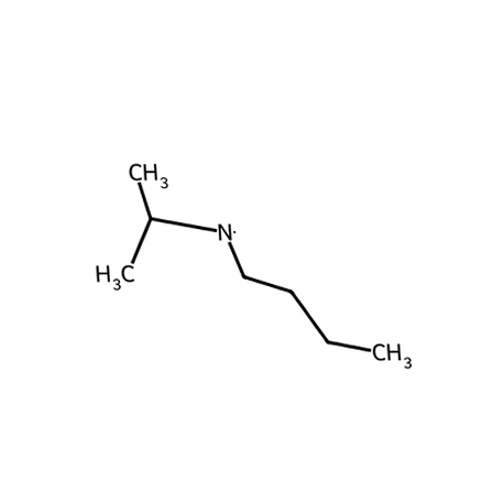 CCCC[N]C(C)C